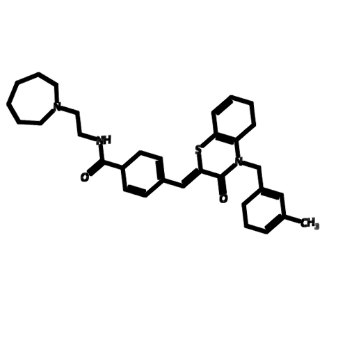 CC1=CCCC(CN2C(=O)/C(=C/C3=CCC(C(=O)NCCN4CCCCCC4)C=C3)SC3=C2CCC=C3)=C1